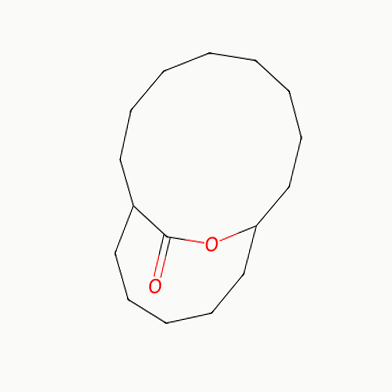 O=C1OC2CCCCCCCCC1CCCCC2